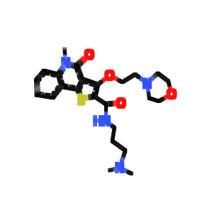 CN(C)CCCNC(=O)c1sc2c(c1OCCN1CCOCC1)c(=O)n(C)c1ccccc21